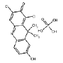 CC1(C)C2=C(Cl)C(=O)C(Cl)=CC2=Nc2ccc(O)cc21.O=P(O)(O)O